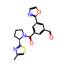 Cc1csc([C@H]2CCCN2C(=O)c2cc(C=O)cc(-c3ncco3)c2)n1